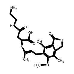 COc1c(C)c2c(c(O)c1C/C=C(\C)CC(CC(=O)NCCN)C(=O)O)C(=O)OC2